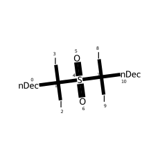 CCCCCCCCCCC(I)(I)S(=O)(=O)C(I)(I)CCCCCCCCCC